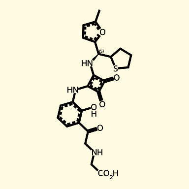 Cc1ccc([C@H](Nc2c(Nc3cccc(C(=O)CNCC(=O)O)c3O)c(=O)c2=O)C2CCCS2)o1